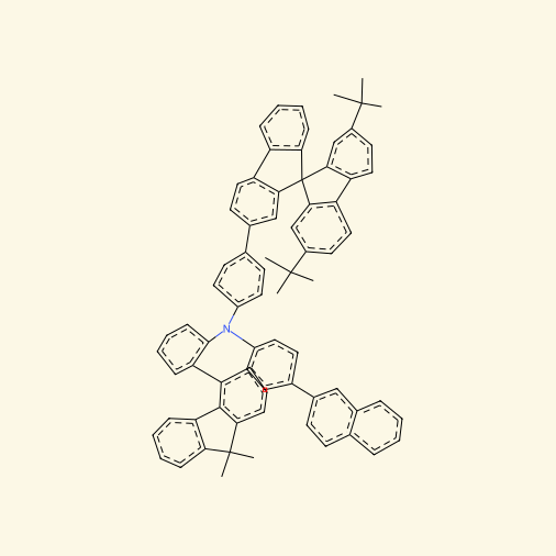 CC(C)(C)c1ccc2c(c1)C1(c3ccccc3-c3ccc(-c4ccc(N(c5ccc(-c6ccc7ccccc7c6)cc5)c5ccccc5-c5cccc6c5-c5ccccc5C6(C)C)cc4)cc31)c1cc(C(C)(C)C)ccc1-2